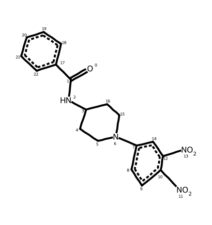 O=C(NC1CCN(c2ccc([N+](=O)[O-])c([N+](=O)[O-])c2)CC1)c1ccccc1